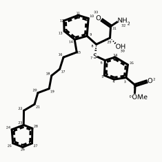 COC(=O)c1ccc(S[C@H](c2ccccc2CCCCCCCCc2ccccc2)[C@@H](O)C(N)=O)cc1